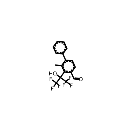 Cc1c(-c2ccccc2)ccc(C=O)c1C(O)(C(F)(F)F)C(F)(F)F